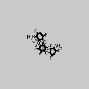 NC1=C(F)C=C(F)C(Oc2cc(OC3C(F)=CC(F)=C(N)C3(F)C(F)(F)F)c(C(F)(F)F)c(F)c2F)C1(F)C(F)(F)F